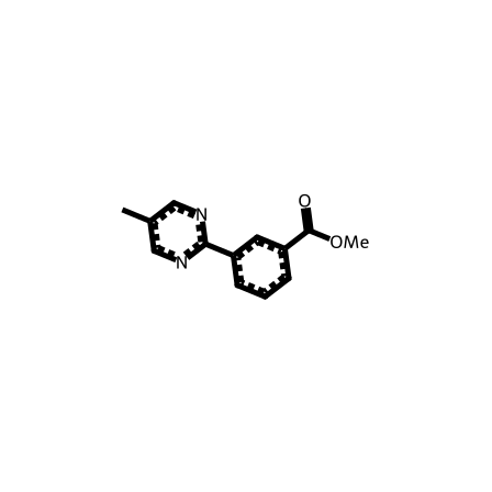 COC(=O)c1cccc(-c2ncc(C)cn2)c1